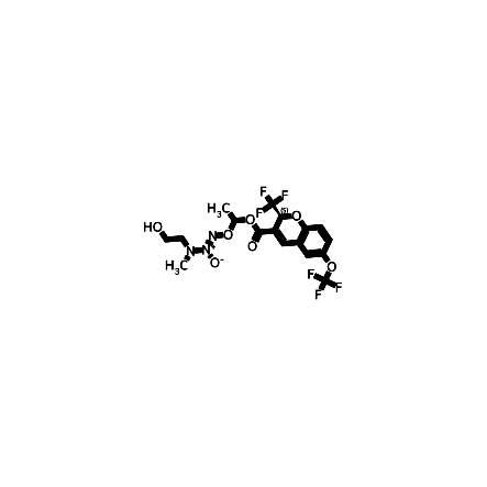 CC(ON=[N+]([O-])N(C)CCO)OC(=O)C1=Cc2cc(OC(F)(F)F)ccc2O[C@@H]1C(F)(F)F